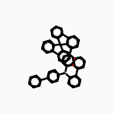 c1ccc(-c2ccc(N(c3ccc(-c4cccc5c4C4(c6ccccc6-c6ccccc64)c4ccccc4-5)cc3)c3ccccc3-c3ccccc3)cc2)cc1